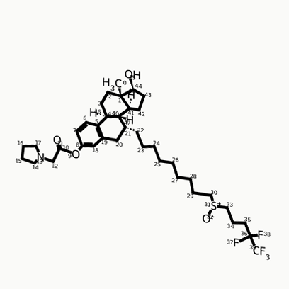 C[C@]12CC[C@@H]3c4ccc(OC(=O)CN5CCCC5)cc4C[C@@H](CCCCCCCCC[S+]([O-])CCCC(F)(F)C(F)(F)F)[C@H]3[C@@H]1CC[C@@H]2O